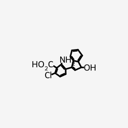 Nc1c(C2=CC(O)c3ccccc32)ccc(Cl)c1C(=O)O